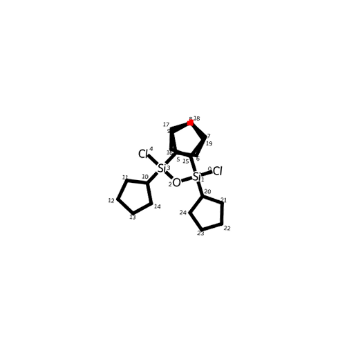 Cl[Si](O[Si](Cl)(C1CCCC1)C1CCCC1)(C1CCCC1)C1CCCC1